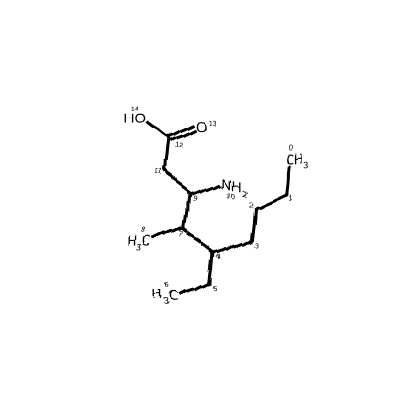 CCCCC(CC)C(C)C(N)CC(=O)O